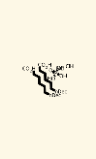 CCCCCCCCCCCCCCCC(=O)O.CCCCCCCCCCCCCCCC(=O)O.Cl.Cl.O=P(O)(O)O